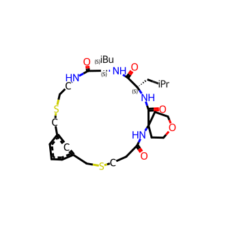 CC[C@H](C)[C@@H]1NC(=O)[C@H](CC(C)C)NC(=O)C2(CCOCC2)NC(=O)CCSCc2cccc(c2)CSCCNC1=O